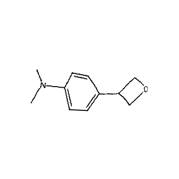 CN(C)c1ccc(C2COC2)cc1